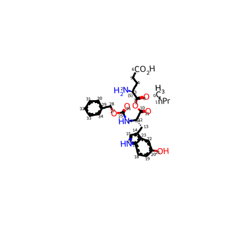 CCCC.N[C@@H](CCC(=O)O)C(=O)OC(=O)[C@H](Cc1c[nH]c2ccc(O)cc12)NC(=O)OCc1ccccc1